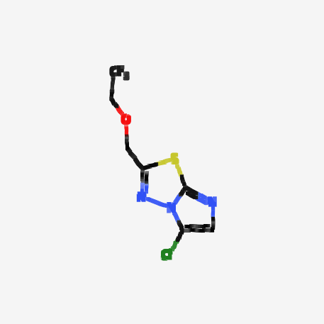 FC(F)(F)COCc1nn2c(Cl)cnc2s1